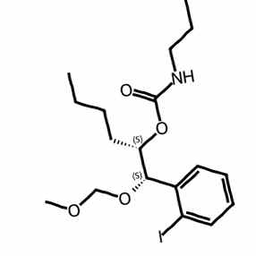 CCCC[C@H](OC(=O)NCCC)[C@@H](OCOC)c1ccccc1I